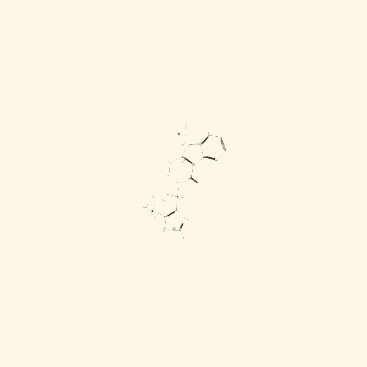 [2H]c1nc(C([2H])([2H])N2CCc3c(c4ccccc4n3C([2H])([2H])[2H])C2=O)c(C([2H])([2H])[2H])[nH]1